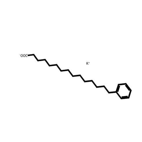 O=C([O-])CCCCCCCCCCCCCCc1ccccc1.[K+]